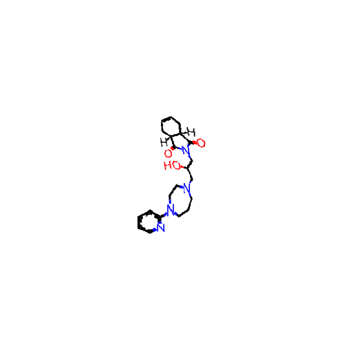 O=C1[C@H]2CC=CC[C@H]2C(=O)N1CC(O)CN1CCCN(c2ccccn2)CC1